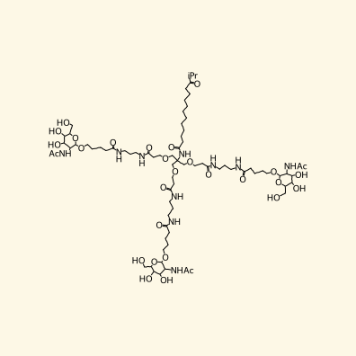 CC(=O)NC1C(OCCCCC(=O)NCCCNC(=O)CCOCC(COCCC(=O)NCCCNC(=O)CCCCOC2OC(CO)C(O)C(O)C2NC(C)=O)(COCCC(=O)NCCCNC(=O)CCCCOC2OC(CO)C(O)C(O)C2NC(C)=O)NC(=O)CCCCCCCCCCC(=O)C(C)C)OC(CO)C(O)C1O